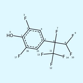 Oc1c(F)cc(C(F)(C(F)F)C(F)(F)F)cc1F